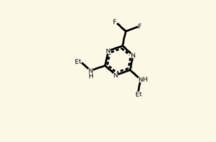 CCNc1nc(NCC)nc(C(F)F)n1